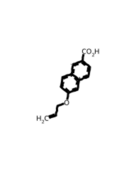 C=CCOc1ccc2[c]c(C(=O)O)ccc2c1